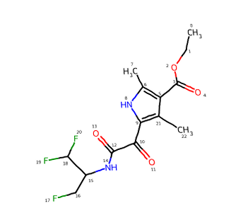 CCOC(=O)c1c(C)[nH]c(C(=O)C(=O)NC(CF)C(F)F)c1C